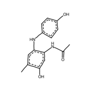 CC(=O)Nc1cc(O)c(C)cc1Nc1ccc(O)cc1